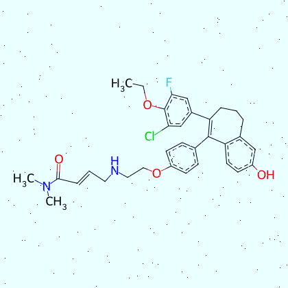 CCOc1c(F)cc(C2=C(c3ccc(OCCNC/C=C/C(=O)N(C)C)cc3)c3ccc(O)cc3CCC2)cc1Cl